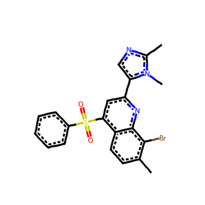 Cc1ccc2c(S(=O)(=O)c3ccccc3)cc(-c3cnc(C)n3C)nc2c1Br